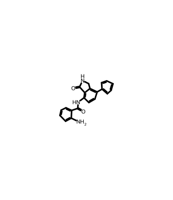 Nc1ccccc1C(=O)Nc1ccc(-c2ccccc2)c2c1C(=O)NC2